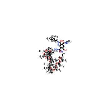 CCCCNC(=O)c1cc(C(=O)NCCC[SiH](C)O[SiH](C)O[SiH](C)O[SiH](C)O[Si](C)(C)O[SiH](C)O[Si](C)(C)C)c(C(=O)NCCC[SiH](C)O[Si](C)(C)O[Si](C)(C)O[Si](C)(C)O[Si](C)(C)O[SiH](C)O[Si](C)(C)C)cc1C(=O)NCCC[Si](C)(C)OC